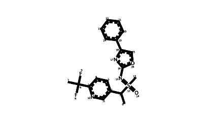 CC(c1ccc(C(C)(F)F)nc1)S(C)(=O)=Nc1nc(-c2ccccc2)co1